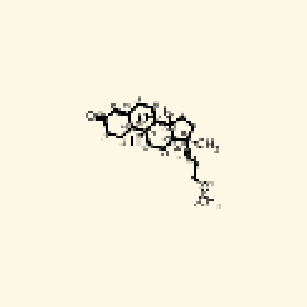 COCCC[C@@]1(C)CC[C@H]2C3CCC4=CC(=O)CC[C@]4(C)[C@H]3CC[C@@]21C